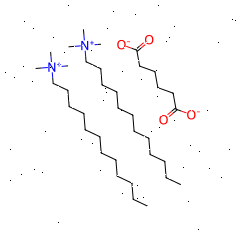 CCCCCCCCCCCC[N+](C)(C)C.CCCCCCCCCCCC[N+](C)(C)C.O=C([O-])CCCCC(=O)[O-]